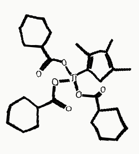 CC1=C(C)C(C)=[C]([Ti]([O]C(=O)C2CCCCC2)([O]C(=O)C2CCCCC2)[O]C(=O)C2CCCCC2)C1